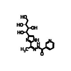 C/C(=N/NC(=O)c1cccnc1)c1nc([C@@H](O)[C@H](O)[C@H](O)CO)c[nH]1